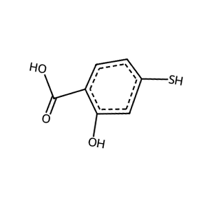 O=C(O)c1ccc(S)cc1O